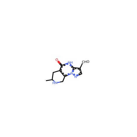 CC1Cc2c(n3ncc(C=O)c3[nH]c2=O)CN1